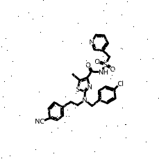 Cc1sc(N(CCc2ccc(C#N)cc2)Cc2ccc(Cl)cc2)nc1C(=O)NS(=O)(=O)Cc1cccnc1